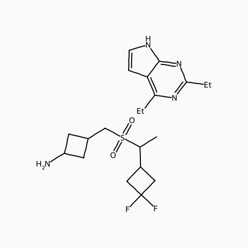 CC(C1CC(F)(F)C1)S(=O)(=O)CC1CC(N)C1.CCc1nc(CC)c2cc[nH]c2n1